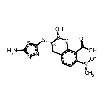 C[S+]([O-])c1ccc2c(c1C(=O)O)OB(O)[C@@H](Sc1nnc(N)s1)C2